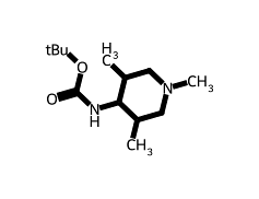 CC1CN(C)CC(C)C1NC(=O)OC(C)(C)C